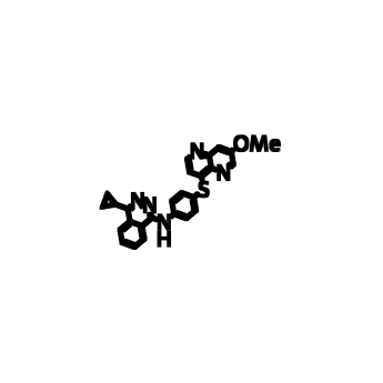 COc1cnc2c(Sc3ccc(Nc4nnc(C5CC5)c5ccccc45)cc3)ccnc2c1